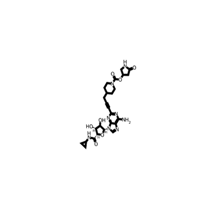 Nc1nc(C#CCC2CCN(C(=O)OC3CNC(=O)C3)CC2)nc2c1ncn2[C@@H]1O[C@H](C(=O)NC2CC2)[C@H](O)C1O